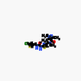 Cc1nn(C)c(C)c1C(=O)N(C)Cc1csc(NC(=O)NCc2csc(Cl)c2)n1